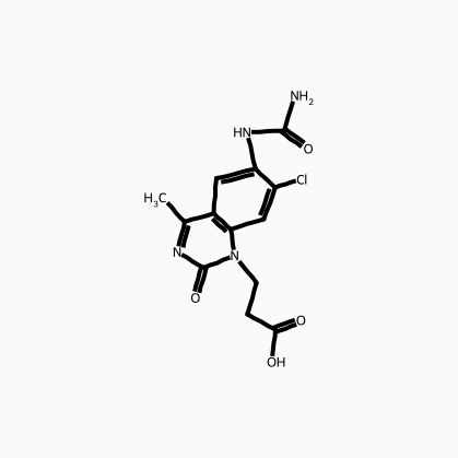 Cc1nc(=O)n(CCC(=O)O)c2cc(Cl)c(NC(N)=O)cc12